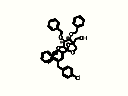 OCC12COC(c3ccc(F)c(Cc4ccc(Cl)cc4)c3)(O1)C(OCc1ccccc1)[C@@H](OCc1ccccc1)[C@H]2OCc1ccccc1